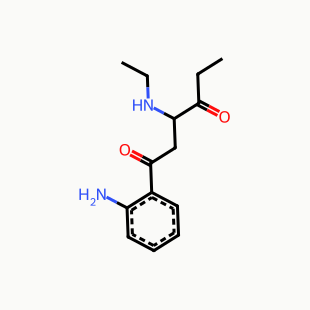 CCNC(CC(=O)c1ccccc1N)C(=O)CC